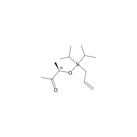 C=CC[Si](O[C@H](C)C(C)=O)(C(C)C)C(C)C